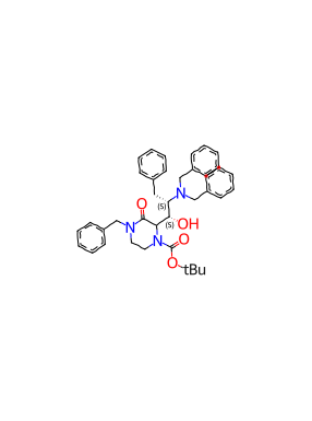 CC(C)(C)OC(=O)N1CCN(Cc2ccccc2)C(=O)C1[C@@H](O)[C@H](Cc1ccccc1)N(Cc1ccccc1)Cc1ccccc1